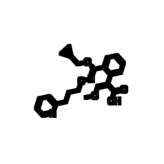 COC=C(C(=O)O)c1ccccc1C(=NOCCCc1ccccn1)OCC1CC1